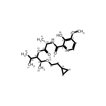 COc1ccnc(C(=O)N[C@@H](C)C(=O)OC(C(C)C)[C@H](C)OCCC2CC2)c1O